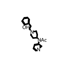 CC(=O)N(c1cccnc1)C1CCN(CCc2ccccc2O)CC1